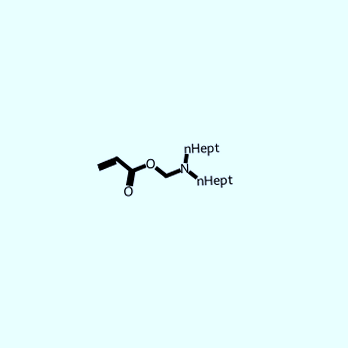 C=CC(=O)OCN(CCCCCCC)CCCCCCC